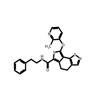 Cc1ncccc1Oc1sc(C(=O)NCCc2ccccc2)c2c1-c1sncc1CC2